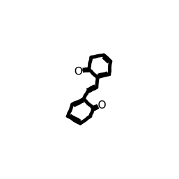 O=C1CC=CC=C1C=CC1=CC=CCC1=O